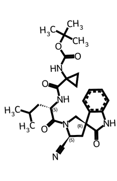 CC(C)C[C@H](NC(=O)C1(NC(=O)OC(C)(C)C)CC1)C(=O)N1C[C@]2(C[C@H]1C#N)C(=O)Nc1ccccc12